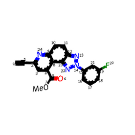 C#Cc1cc(C(=O)OC)c2c(ccc3nn(-c4cccc(F)c4)nc32)n1